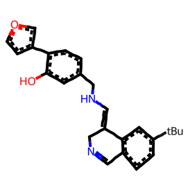 CC(C)(C)c1ccc2c(c1)C(=CNCc1ccc(-c3ccoc3)c(O)c1)CN=C2